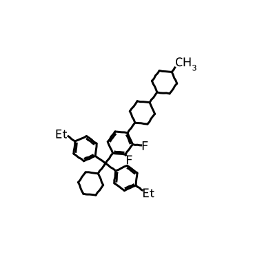 CCc1ccc(C(c2ccc(CC)cc2)(c2ccc(C3CCC(C4CCC(C)CC4)CC3)c(F)c2F)C2CCCCC2)cc1